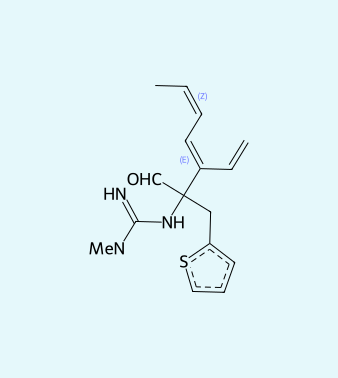 C=C/C(=C\C=C/C)C(C=O)(Cc1cccs1)NC(=N)NC